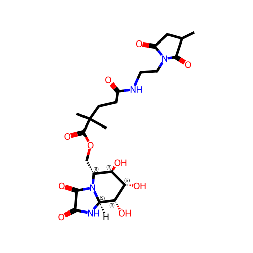 CC1CC(=O)N(CCNC(=O)CCC(C)(C)C(=O)OC[C@@H]2[C@@H](O)[C@H](O)[C@H](O)[C@H]3NC(=O)C(=O)N23)C1=O